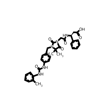 Cc1ccccc1NC(=O)Nc1ccc(CN2C(=O)N(CC(=O)N[C@@H](CC(=O)O)c3ccccc3)C(=O)C2(C)C)cc1